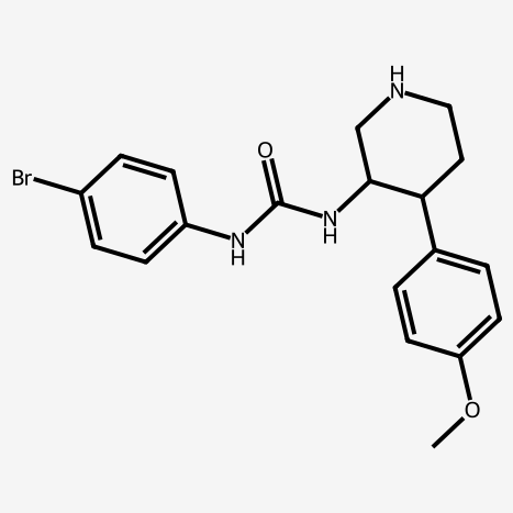 COc1ccc(C2CCNCC2NC(=O)Nc2ccc(Br)cc2)cc1